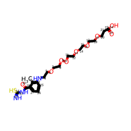 Cc1c(NCCOCCOOCCOCCOCCOCCC(=O)O)cccc1C(=O)NC(=N)S